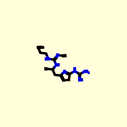 CCC(Cc1csc(NC(=N)N)n1)N/C(=N\C#N)NCCOC